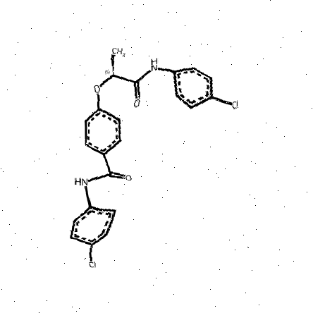 C[C@H](Oc1ccc(C(=O)Nc2ccc(Cl)cc2)cc1)C(=O)Nc1ccc(Cl)cc1